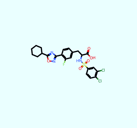 O=C(O)C(Cc1ccc(-c2noc(C3CCCCC3)n2)c(F)c1)NS(=O)(=O)c1ccc(Cl)c(Cl)c1